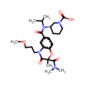 COCCCN1C(=O)C(C)(C(=O)N(C)C)Oc2ccc(C(=O)N(C(C)C)[C@@H]3CCCN(C(=O)O)C3)cc21